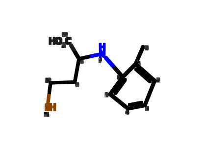 Cc1ccccc1NC(CCS)C(=O)O